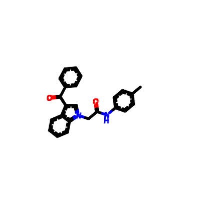 Cc1ccc(NC(=O)Cn2cc(C(=O)c3ccccc3)c3ccccc32)cc1